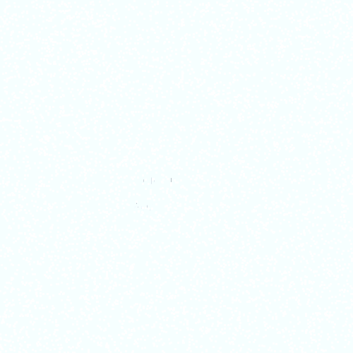 CC(=O)OCP(C=O)(c1ccccc1)(c1ccccc1)c1ccccc1